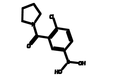 O=C(c1cc(B(O)O)ccc1Cl)N1CCCC1